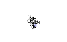 [CH2]CNC(=O)NC(=O)/C(C#N)=N\OC